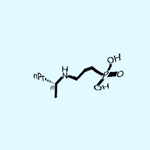 CCC[C@@H](C)NCCP(=O)(O)O